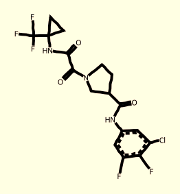 O=C(NC1(C(F)(F)F)CC1)C(=O)N1CCC(C(=O)Nc2cc(F)c(F)c(Cl)c2)C1